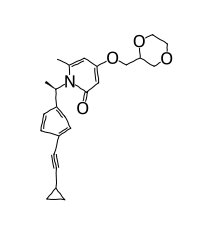 Cc1cc(OCC2COCCO2)cc(=O)n1[C@H](C)c1ccc(C#CC2CC2)cc1